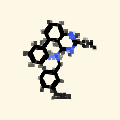 COc1cccc(CNc2nc(C)nc3cccc(-c4ccccc4)c23)c1